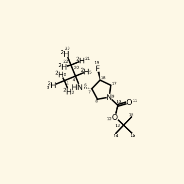 [2H]C([2H])([2H])C([2H])(N[C@H]1CN(C(=O)OC(C)(C)C)C[C@@H]1F)C([2H])([2H])[2H]